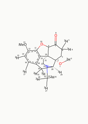 [2H]O[C@@]12CC([2H])([2H])C(=O)C3Oc4c(OC)c([2H])c([2H])c5c4[C@@]31CCN(C([2H])([2H])[2H])[C@]2([2H])C5([2H])[2H]